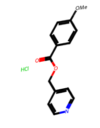 COc1ccc(C(=O)OCc2ccncc2)cc1.Cl